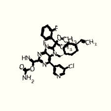 C=C[C@H]1CC[C@H](Cn2c(C(C)(OC)c3c(F)cccc3F)nc3nc(C(=N)OC(N)=O)nc(-c4cncc(Cl)c4)c32)CC1